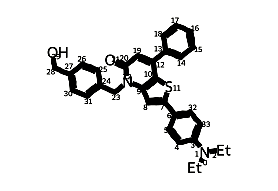 CCN(CC)c1ccc(-c2cc3c(s2)c(-c2ccccc2)cc(=O)n3Cc2ccc(CO)cc2)cc1